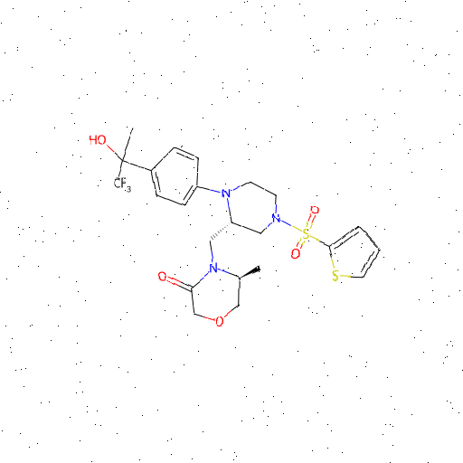 C[C@H]1COCC(=O)N1C[C@H]1CN(S(=O)(=O)c2cccs2)CCN1c1ccc(C(C)(O)C(F)(F)F)cc1